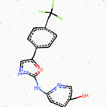 Oc1ccc(Nc2ncc(-c3ccc(C(F)(F)F)cc3)o2)nc1